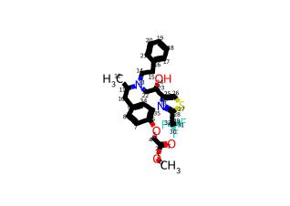 COC(=O)COc1ccc(CC(C)N(CCc2ccccc2)CC(O)c2csc(C(F)(F)F)n2)cc1